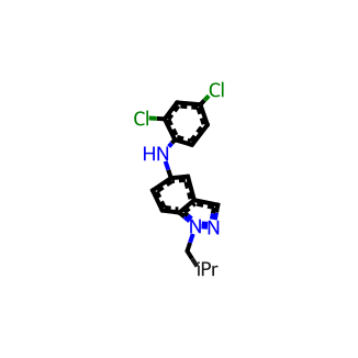 CC(C)Cn1ncc2cc(Nc3ccc(Cl)cc3Cl)ccc21